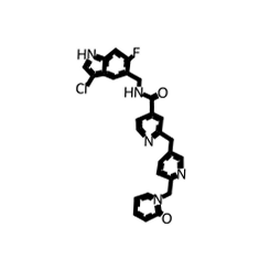 O=C(NCc1cc2c(Cl)c[nH]c2cc1F)c1ccnc(Cc2ccc(Cn3ccccc3=O)nc2)c1